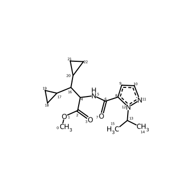 COC(=O)C(NC(=O)c1ccnn1C(C)C)C(C1CC1)C1CC1